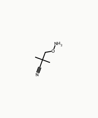 CC(C)(C#N)CON